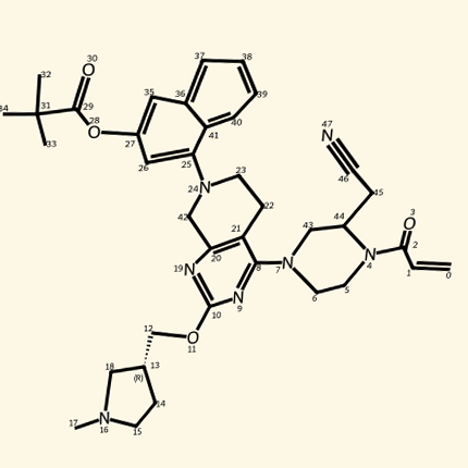 C=CC(=O)N1CCN(c2nc(OC[C@@H]3CCN(C)C3)nc3c2CCN(c2cc(OC(=O)C(C)(C)C)cc4ccccc24)C3)CC1CC#N